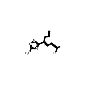 C=CC/C(=C\C=C(\C)CC)c1noc(C(F)(F)F)n1